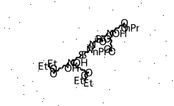 CCCOC(=O)CCCC(O)CN(CCCC(=O)OCCN1CCN(CCSSCCCCN(CC(O)CCCCC(=O)OCC(CC)CC)CC(O)CCCCC(=O)OCC(CC)CC)CC1)CC(O)CCCC(=O)OCCC